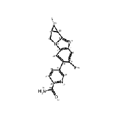 C[C@H]1C2Cn3c(nc4cc(F)c(-c5ccc(C(N)=O)nc5)cc43)C21